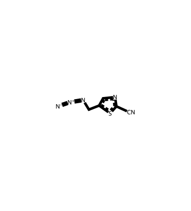 N#Cc1ncc(CN=[N+]=[N-])s1